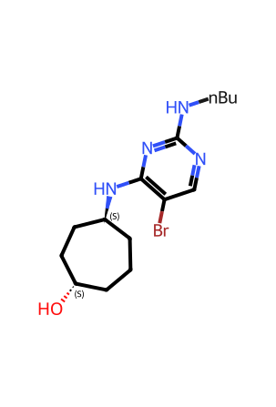 CCCCNc1ncc(Br)c(N[C@H]2CCC[C@H](O)CC2)n1